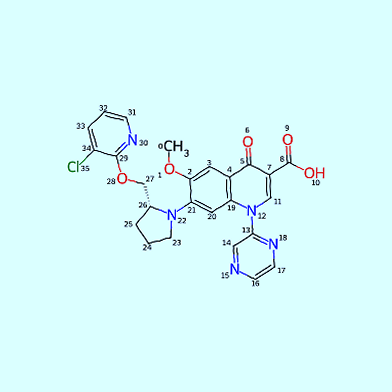 COc1cc2c(=O)c(C(=O)O)cn(-c3cnccn3)c2cc1N1CCC[C@@H]1COc1ncccc1Cl